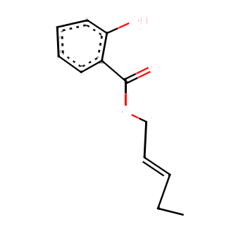 CCC=CCOC(=O)c1ccccc1O